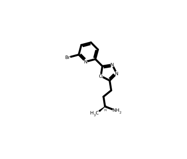 C[C@H](N)CCc1nnc(-c2cccc(Br)n2)o1